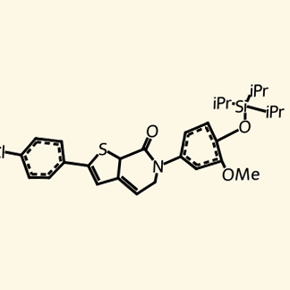 COc1cc(N2CC=C3C=C(c4ccc(Cl)cc4)SC3C2=O)ccc1O[Si](C(C)C)(C(C)C)C(C)C